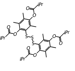 Cc1c(C)c(OC(=O)C(C)C)c(SSSc2c(C)c(OC(=O)C(C)C)c(C)c(C)c2OC(=O)C(C)C)c(C)c1OC(=O)C(C)C